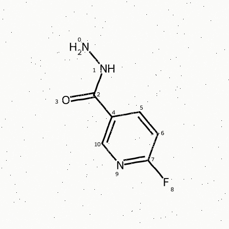 NNC(=O)c1ccc(F)nc1